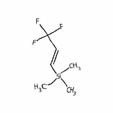 C[Si](C)(C)C=CC(F)(F)F